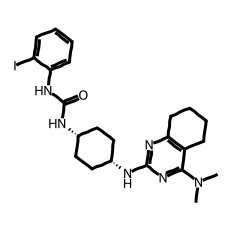 CN(C)c1nc(N[C@H]2CC[C@@H](NC(=O)Nc3ccccc3I)CC2)nc2c1CCCC2